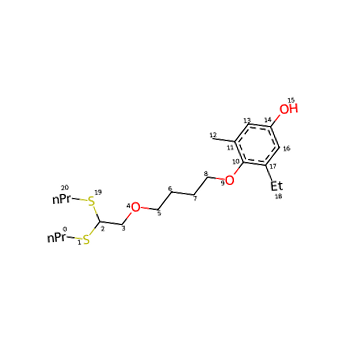 CCCSC(COCCCCOc1c(C)cc(O)cc1CC)SCCC